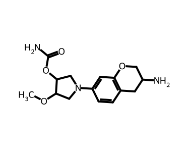 COC1CN(c2ccc3c(c2)OCC(N)C3)CC1OC(N)=O